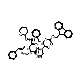 CC(C)C[C@@H](C(=O)NN(CC(C)C)C(=O)[C@@H](Cc1ccccc1)NC(=O)OCC1c2ccccc2-c2ccccc21)[C@H](CC=Cc1ccccc1)C(=O)NOC1CCCCO1